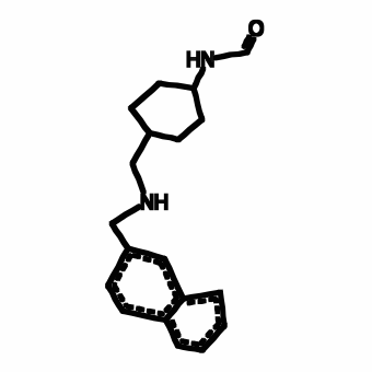 O=CNC1CCC(CNCc2ccc3ccccc3c2)CC1